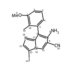 COc1cccc(-c2c(N)c(C#N)cn3c(I)cnc23)c1C